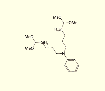 COC(OC)[SiH2]CCCN(CCC[SiH2]C(OC)OC)c1ccccc1